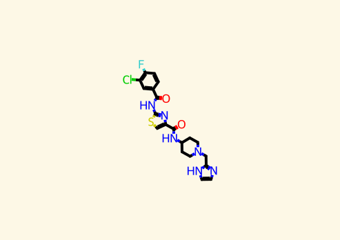 O=C(Nc1nc(C(=O)NC2CCN(Cc3ncc[nH]3)CC2)cs1)c1ccc(F)c(Cl)c1